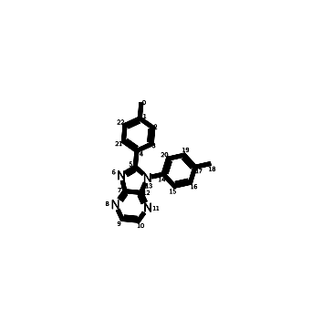 Cc1ccc(-c2nc3nccnc3n2-c2ccc(C)cc2)cc1